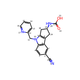 N#Cc1ccc2c(c1)c1c(n2Cc2ccccn2)C[C@@H](NC(=O)O)C1